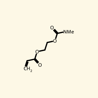 C=CC(=O)OCCOC(=O)NC